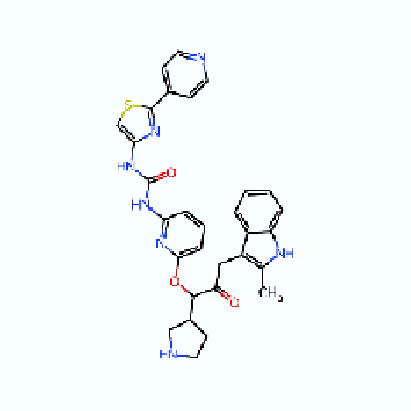 Cc1[nH]c2ccccc2c1CC(=O)C(Oc1cccc(NC(=O)Nc2csc(-c3ccncc3)n2)n1)C1CCNC1